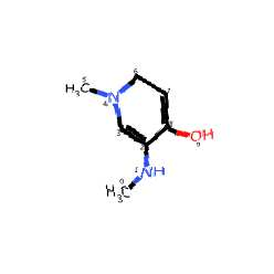 CNC1=CN(C)CC=C1O